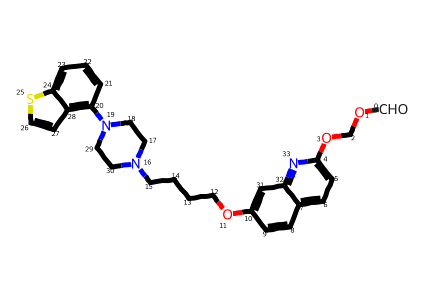 O=COCOc1ccc2ccc(OCCCCN3CCN(c4cccc5sccc45)CC3)cc2n1